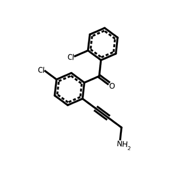 NCC#Cc1ccc(Cl)cc1C(=O)c1ccccc1Cl